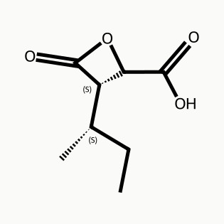 CC[C@H](C)[C@@H]1C(=O)OC1C(=O)O